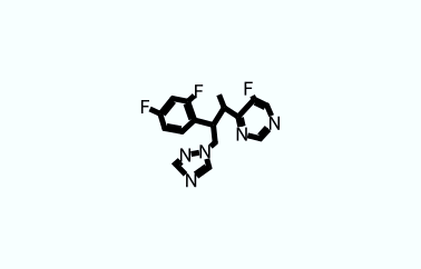 CC(c1ncncc1F)C(Cn1cncn1)c1ccc(F)cc1F